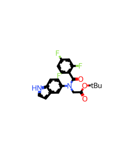 CC(C)(C)OC(=O)CN(C(=O)c1c(F)cc(F)cc1F)c1ccc2[nH]ccc2c1